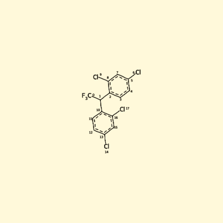 FC(F)(F)C(c1ccc(Cl)cc1Cl)c1ccc(Cl)cc1Cl